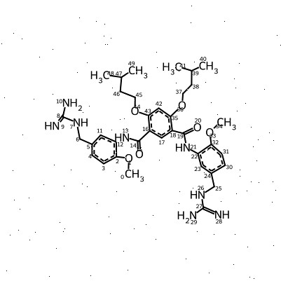 COc1ccc(CNC(=N)N)cc1NC(=O)c1cc(C(=O)Nc2cc(CNC(=N)N)ccc2OC)c(OCCC(C)C)cc1OCCC(C)C